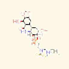 CN1CSC(=S)N(CCP2(=O)O[C@@H]3[C@H](O2)[C@@H](O)CC2c4cc5c(c(O)c4C(=O)N[C@H]23)OCO5)C1